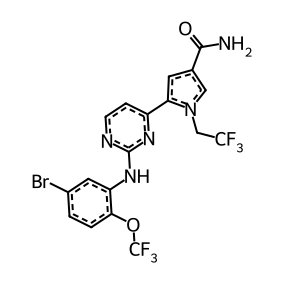 NC(=O)c1cc(-c2ccnc(Nc3cc(Br)ccc3OC(F)(F)F)n2)n(CC(F)(F)F)c1